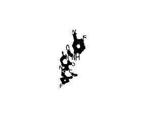 C[C@@H]1Cc2nn3c(c2C(=O)N1C(=O)Nc1ccc(F)c(C#N)c1)CN(C)CC1(CC(F)C1)C3